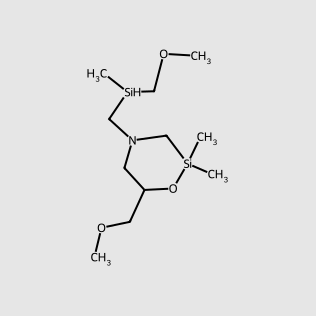 COCC1CN(C[SiH](C)COC)C[Si](C)(C)O1